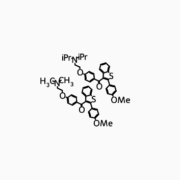 COc1ccc(-c2sc3ccccc3c2C(=O)c2ccc(OCCN(C(C)C)C(C)C)cc2)cc1.COc1ccc(-c2sc3ccccc3c2C(=O)c2ccc(OCCN(C)C)cc2)cc1